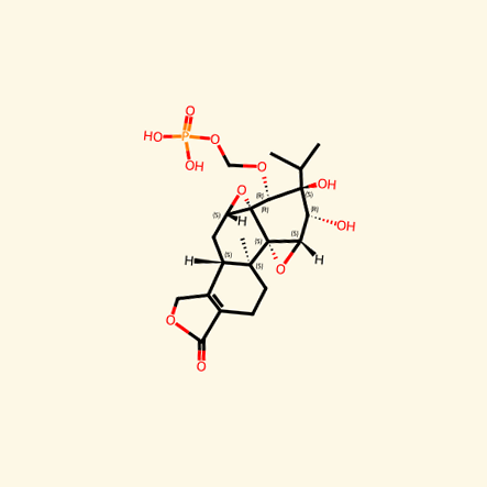 CC(C)[C@]1(O)[C@H](O)[C@@H]2O[C@]23[C@]2(O[C@H]2C[C@H]2C4=C(CC[C@@]23C)C(=O)OC4)[C@@H]1OCOP(=O)(O)O